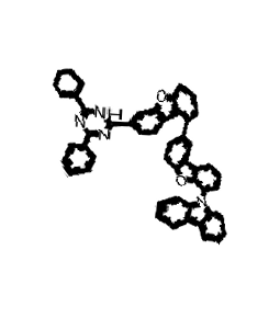 C1=CCCC(C2=NC(c3ccccc3)=NC(c3ccc4c(c3)oc3cccc(-c5ccc6oc7c(-n8c9ccccc9c9ccccc98)cccc7c6c5)c34)N2)=C1